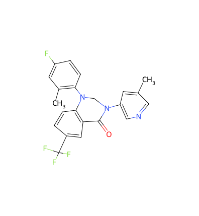 Cc1cncc(N2CN(c3ccc(F)cc3C)c3ccc(C(F)(F)F)cc3C2=O)c1